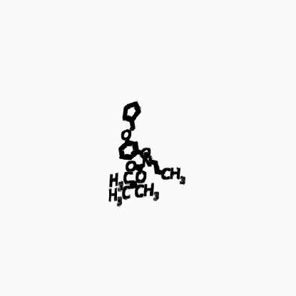 CCCN(Oc1cccc(OCC2CCCC2)c1)C(=O)OC(C)(C)C